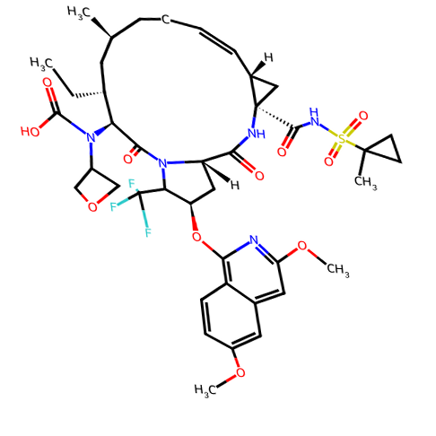 CC[C@@H]1C[C@@H](C)CC/C=C\[C@@H]2C[C@@]2(C(=O)NS(=O)(=O)C2(C)CC2)NC(=O)[C@@H]2C[C@@H](Oc3nc(OC)cc4cc(OC)ccc34)C(C(F)(F)F)N2C(=O)[C@H]1N(C(=O)O)C1COC1